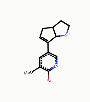 COc1cc(C2=CCC3CCNC23)cnc1Br